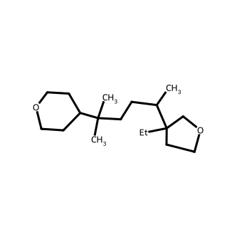 CCC1(C(C)CCC(C)(C)C2CCOCC2)CCOC1